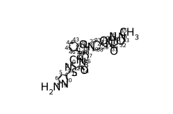 Cc1nc(-c2ccc(N)nc2)sc1C(=O)N1CC[C@@H](C(=O)N2CCC(O)(Cn3cnc4c(ccn4C)c3=O)CC2)[C@H](c2ccccc2)C1